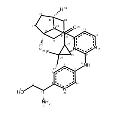 N[C@H](CO)c1ccc(Nc2nccc(N3C[C@H]4CC[C@@H](C3)N4C(=O)C3CC3(F)F)n2)cn1